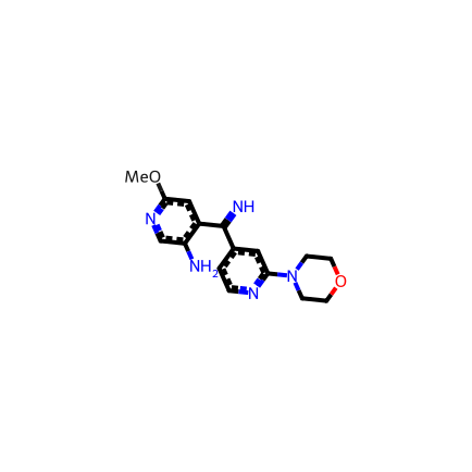 COc1cc(C(=N)c2ccnc(N3CCOCC3)c2)c(N)cn1